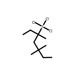 CCC(C)(C)CC(C)(CC)S(Cl)(Cl)Cl